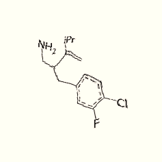 C=C(C(C)C)C(CN)Cc1ccc(Cl)c(F)c1